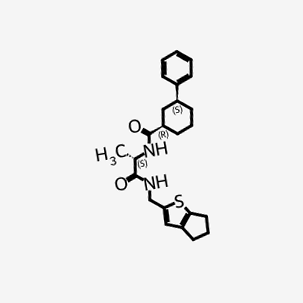 C[C@H](NC(=O)[C@@H]1CCC[C@H](c2ccccc2)C1)C(=O)NCc1cc2c(s1)CCC2